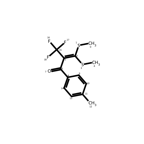 CSC(SC)=C(C(=O)c1ccc(C)cc1)C(F)(F)F